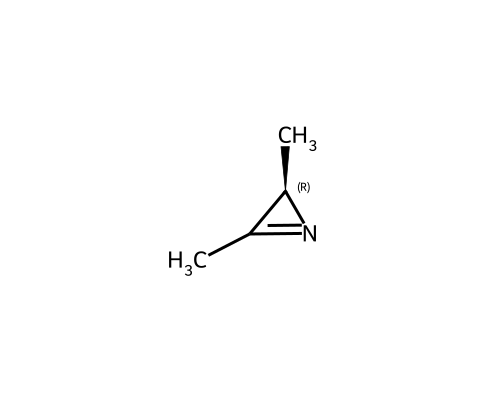 CC1=N[C@@H]1C